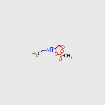 CCNCC([C]=O)OS(C)(=O)=O